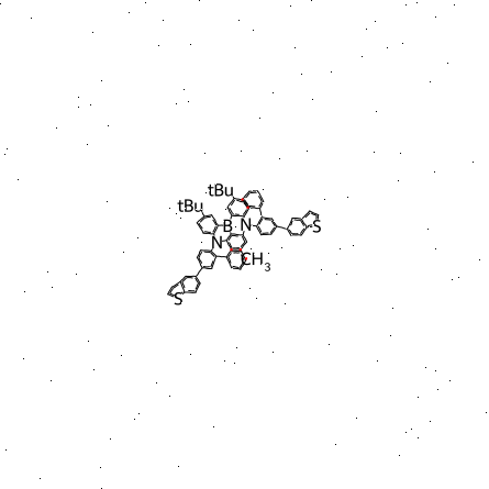 Cc1cc2c3c(c1)N(c1ccc(-c4ccc5sccc5c4)cc1-c1ccccc1)c1ccc(C(C)(C)C)cc1B3c1cc(C(C)(C)C)ccc1N2c1ccc(-c2ccc3sccc3c2)cc1-c1ccccc1